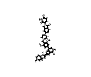 COc1cc(-c2cn(C)c(=O)c3cc(C(=O)NC4CCN(C)CC4(F)F)sc23)cc(OC)c1CN1CCN(c2ccc3c(c2)CN(C2CCC(=O)NC2=O)C3=O)CC1